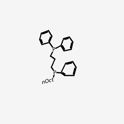 CCCCCCCCP(CCCP(c1ccccc1)c1ccccc1)c1ccccc1